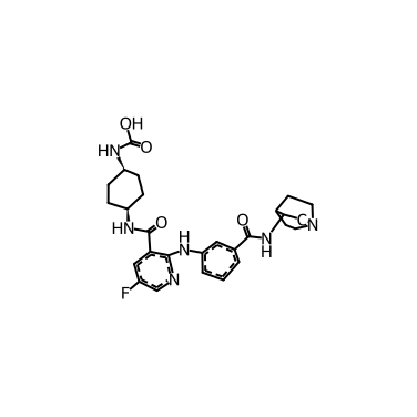 O=C(O)N[C@H]1CC[C@@H](NC(=O)c2cc(F)cnc2Nc2cccc(C(=O)NC3CN4CCC3CC4)c2)CC1